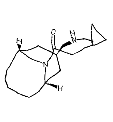 CN[C@@H]1C[C@H]2CCC[C@@H](C1)N2C(=O)CC1CC1